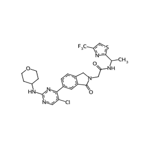 CC(NC(=O)CN1Cc2ccc(-c3nc(NC4CCOCC4)ncc3Cl)cc2C1=O)c1nc(C(F)(F)F)cs1